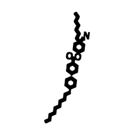 CCCCCCCCCC[C@H]1CC[C@H](C2CCC(C(=O)OC3CCC(C#N)(CCCCCCC)CC3)CC2)CC1